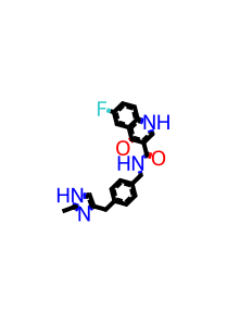 Cc1nc(Cc2ccc(CNC(=O)c3c[nH]c4ccc(F)cc4c3=O)cc2)c[nH]1